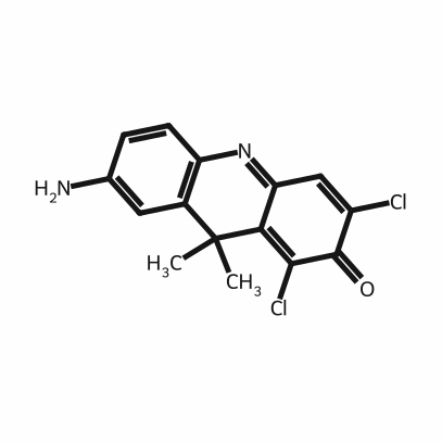 CC1(C)C2=C(Cl)C(=O)C(Cl)=CC2=Nc2ccc(N)cc21